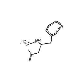 C=C(C)CC(Cc1cccnc1)NC(=O)O